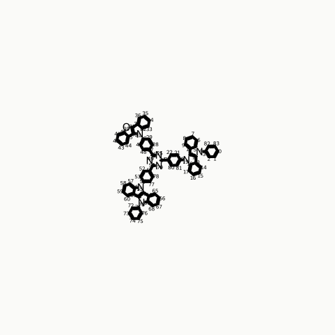 c1ccc(-n2c3ccccc3c3c2c2ccccc2n3-c2ccc(-c3nc(-c4ccc(-n5c6ccccc6c6oc7ccccc7c65)cc4)nc(-c4ccc(-n5c6ccccc6c6c5c5ccccc5n6-c5ccccc5)cc4)n3)cc2)cc1